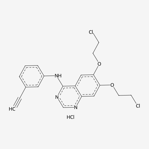 C#Cc1cccc(Nc2ncnc3cc(OCCCl)c(OCCCl)cc23)c1.Cl